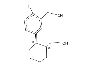 N#CCc1cc([C@@H]2CCCC[C@H]2CO)ccc1F